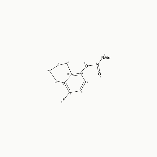 CNC(=O)Oc1ccc(F)c2c1CCCC2